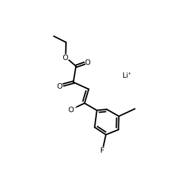 CCOC(=O)C(=O)C=C([O-])c1cc(C)cc(F)c1.[Li+]